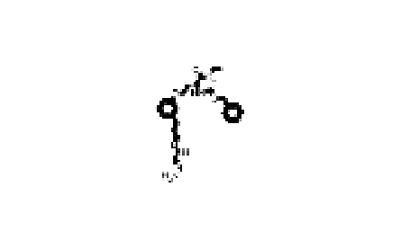 CCOC(=O)[C@H](CCOc1cccc(CCC=NNC=NN)c1)NC(=O)OCc1ccccc1